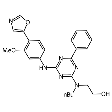 CCCCN(CCO)c1nc(Nc2ccc(-c3cnco3)c(OC)c2)nc(-c2ccccc2)n1